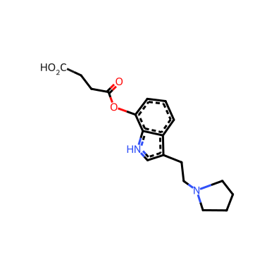 O=C(O)CCC(=O)Oc1cccc2c(CCN3CCCC3)c[nH]c12